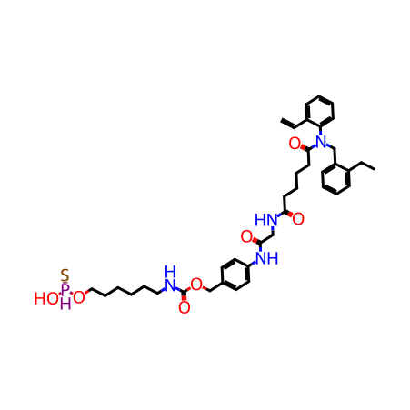 C=Cc1ccccc1N(Cc1ccccc1CC)C(=O)CCCCC(=O)NCC(=O)Nc1ccc(COC(=O)NCCCCCCO[PH](O)=S)cc1